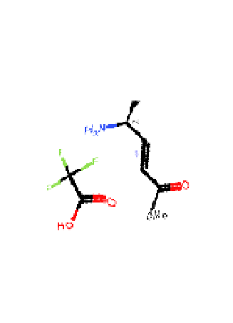 COC(=O)/C=C/[C@H](C)N.O=C(O)C(F)(F)F